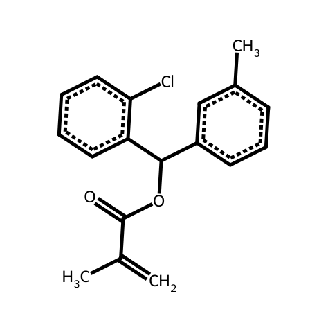 C=C(C)C(=O)OC(c1cccc(C)c1)c1ccccc1Cl